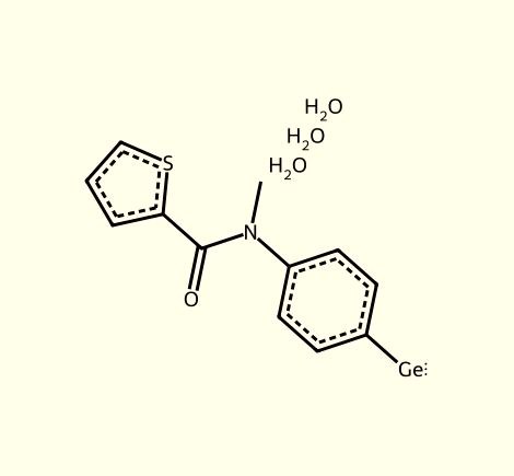 CN(C(=O)c1cccs1)c1cc[c]([Ge])cc1.O.O.O